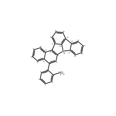 O=[N+]([O-])c1ccccc1-c1cc2c(c3ccccc13)c1cccc3c4ccccc4n2c31